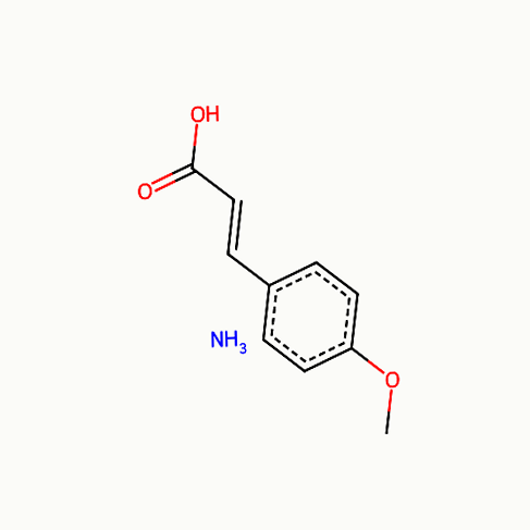 COc1ccc(C=CC(=O)O)cc1.N